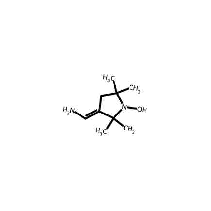 CC1(C)CC(=CN)C(C)(C)N1O